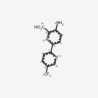 Nc1ccc(-c2ccc(C(F)(F)F)cn2)nc1C(=O)O